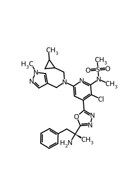 CC1CC1CN(Cc1cnn(C)c1)c1cc(-c2nnc([C@](C)(N)Cc3ccccc3)o2)c(Cl)c(N(C)S(C)(=O)=O)n1